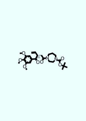 C=C[C@H](CC(=O)N1CCCN(C(=O)OC(C)(C)C)CC1)C(=O)c1cc(OC)c(OC)c(OC)c1